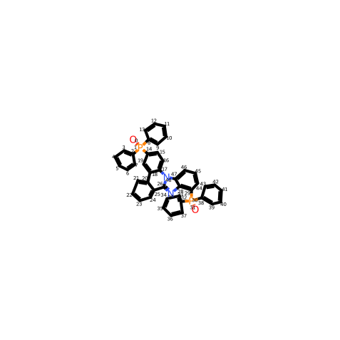 O=P(c1ccccc1)(c1ccccc1)c1ccc2c(c1)c1ccccc1c1nc3c(P(=O)(c4ccccc4)c4ccccc4)cccc3n21